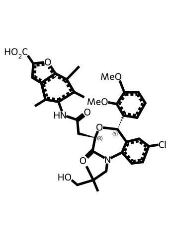 COc1cccc([C@H]2O[C@H](CC(=O)Nc3c(C)c(C)c4oc(C(=O)O)cc4c3C)C(=O)N(CC(C)(C)CO)c3ccc(Cl)cc32)c1OC